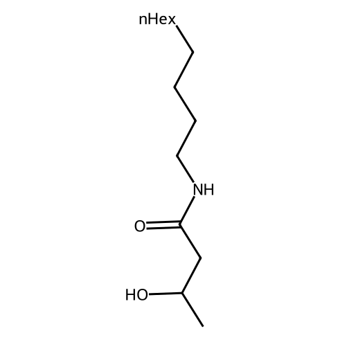 CCCCCCCCCCNC(=O)CC(C)O